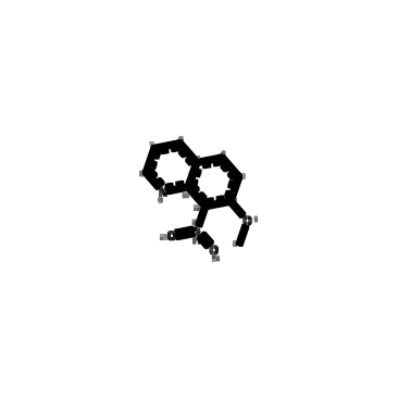 COc1ccc2cccnc2c1[SH](=O)=O